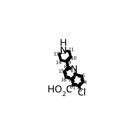 O=C(O)c1c(Cl)ccc2nc(C3=CCNCC3)ccc12